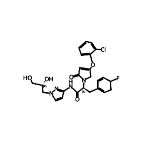 O=C(Nc1ccn(C[C@@H](O)CO)n1)[C@H](CC1=CCC(F)C=C1)N1CC(Oc2ccccc2Cl)=CC1=O